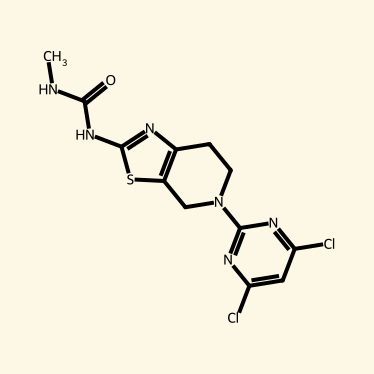 CNC(=O)Nc1nc2c(s1)CN(c1nc(Cl)cc(Cl)n1)CC2